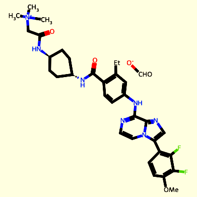 CCc1cc(Nc2nccn3c(-c4ccc(OC)c(F)c4F)cnc23)ccc1C(=O)N[C@H]1CC[C@H](NC(=O)C[N+](C)(C)C)CC1.O=C[O-]